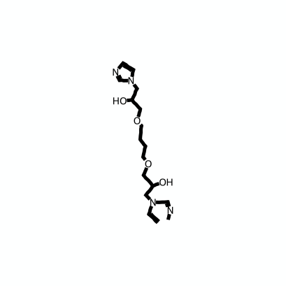 C=CN(/C=N\C)CC(O)COCCCCOCC(O)Cn1ccnc1